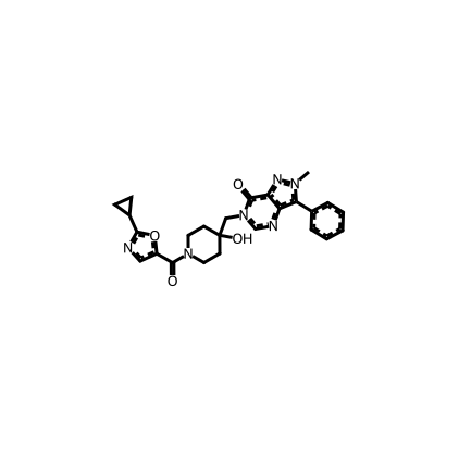 Cn1nc2c(=O)n(CC3(O)CCN(C(=O)c4cnc(C5CC5)o4)CC3)cnc2c1-c1ccccc1